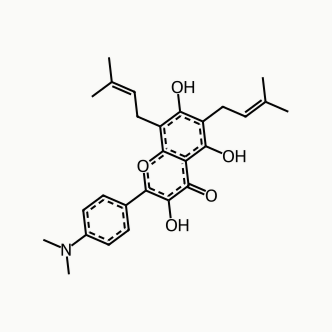 CC(C)=CCc1c(O)c(CC=C(C)C)c2oc(-c3ccc(N(C)C)cc3)c(O)c(=O)c2c1O